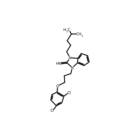 CC(C)CCCn1c(=N)n(CCCOc2ccc(Cl)cc2Cl)c2ccccc21